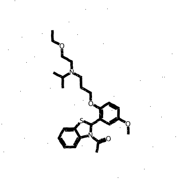 CCOCCN(CCCOc1ccc(OC)cc1C1Sc2ccccc2N1C(C)=O)C(C)C